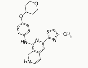 Cc1csc(-c2cc3c(c(Nc4ccc(OC5CCOCC5)cc4)n2)CNC=C3)n1